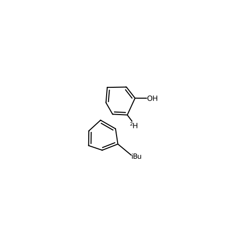 CCC(C)c1ccccc1.[2H]c1ccccc1O